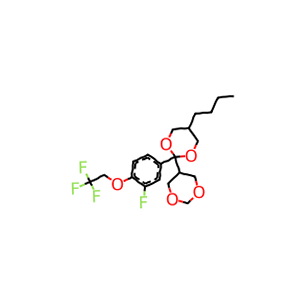 CCCCC1COC(c2ccc(OCC(F)(F)F)c(F)c2)(C2COCOC2)OC1